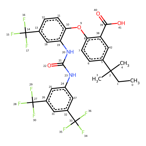 CCC(C)(C)c1ccc(Oc2ccc(C(F)(F)F)cc2NC(=O)Nc2cc(C(F)(F)F)cc(C(F)(F)F)c2)c(C(=O)O)c1